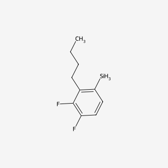 CCCCc1c([SiH3])ccc(F)c1F